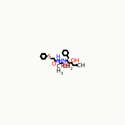 C#CC[C@H](O)C(O)[C@H](CC1CCCCC1)NC(=C)[C@H](C)NC(=O)CCSc1ccccc1